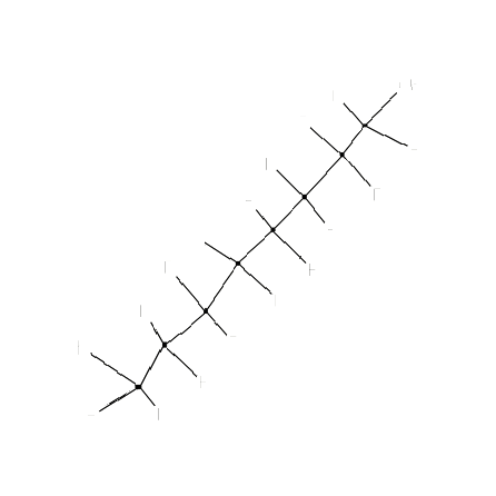 FC(F)(F)C(F)(F)C(F)(F)C(F)(F)C(F)(F)C(F)(F)C(F)(F)C(F)(F)[C](F)(F)[Sb]